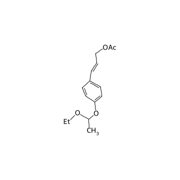 CCOC(C)Oc1ccc(C=CCOC(C)=O)cc1